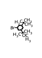 COC(C)(C)c1cc(Br)cc(C(C)(C)C)c1